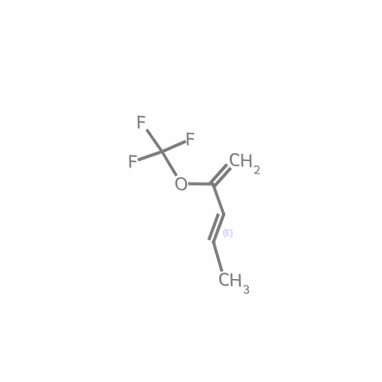 C=C(/C=C/C)OC(F)(F)F